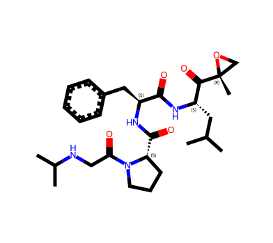 CC(C)C[C@H](NC(=O)[C@H](Cc1ccccc1)NC(=O)[C@@H]1CCCN1C(=O)CNC(C)C)C(=O)[C@@]1(C)CO1